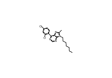 CCCCCCCn1c(C)nc2c(-c3ccc(Cl)cc3Cl)ncnc21